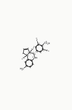 Cc1ccc2c(c1)[C@@H]1CC=C[C@@H]1[C@H](c1cc(F)c(C(=O)O)c(F)c1)N2